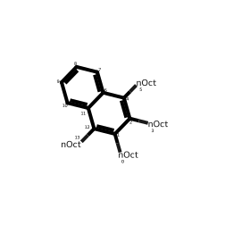 CCCCCCCCc1c(CCCCCCCC)c(CCCCCCCC)c2ccccc2c1CCCCCCCC